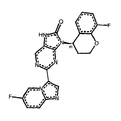 O=c1[nH]c2cnc(-c3cnc4ccc(F)cn34)nc2n1[C@@H]1CCOc2c(F)cccc21